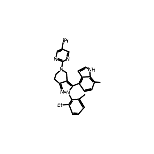 CCc1cccc(C)c1-n1nc2c(c1-c1ccc(C)c3[nH]ccc13)CN(c1ncc(C(C)C)cn1)CC2